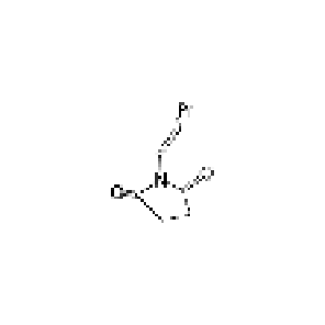 CC(C)C=CN1C(=O)CCC1=O